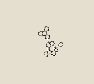 c1ccc(-c2cc3ccc4c5ccccc5n(-c5ccc(-c6ccc7c8ccccc8c8ccccc8c7c6)cc5)c4c3n2-c2ccccc2)cc1